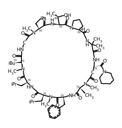 CC[C@H](C)[C@H]1C(=O)NCC(=O)N(C)[C@@H](CC(C)C)C(=O)N[C@@H]([C@@H](C)O)C(=O)N2CCC[C@H]2C(=O)NC(C)(C)C(=O)N[C@H](C(=O)N2CCCCC2)CC(=O)N(C)[C@@H](C)C(=O)N[C@@H](Cc2ccccc2)C(=O)N(C)[C@@H](CC(C)C)C(=O)N[C@@H](CC(C)C)C(=O)N1C